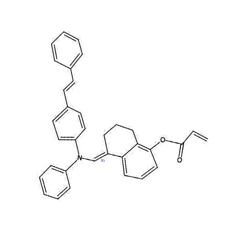 C=CC(=O)Oc1cccc2c1CCC/C2=C\N(c1ccccc1)c1ccc(C=Cc2ccccc2)cc1